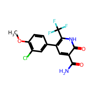 COc1ccc(-c2cc(C(N)=O)c(=O)[nH]c2C(F)(F)F)cc1Cl